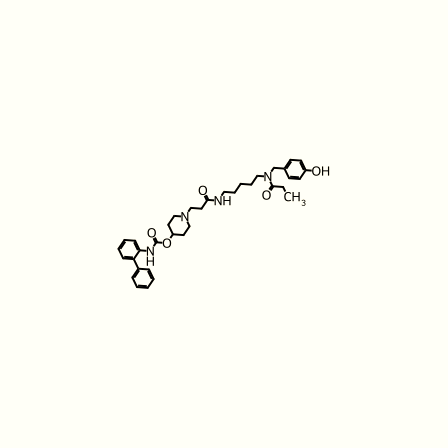 CCC(=O)N(CCCCCNC(=O)CCN1CCC(OC(=O)Nc2ccccc2-c2ccccc2)CC1)Cc1ccc(O)cc1